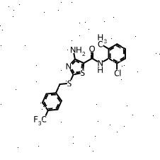 Cc1cccc(Cl)c1NC(=O)c1sc(SCc2ccc(C(F)(F)F)cc2)nc1N